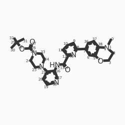 CN1CCOc2cc(-c3cccc(C(=O)Nc4cnccc4N4CCN(C(=O)OC(C)(C)C)CC4)n3)ccc21